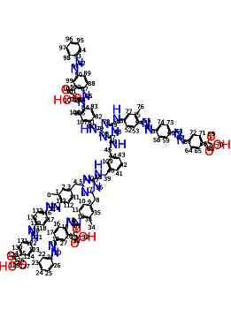 Cc1cc(Cc2nc(Cc3ccc(N=Nc4ccc(N=Nc5ccccc5)cc4S(=O)(=O)O)c(C)c3)nc(NCc3cccc(CNc4nc(Nc5ccc(N=Nc6ccc(N=Nc7ccc(S(=O)(=O)O)cc7)cc6)c(C)c5)nc(Nc5ccc(N=Nc6ccc(N=Nc7ccccc7)cc6S(=O)(=O)O)c(C)c5)n4)c3)n2)ccc1N=Nc1ccc(N=Nc2ccc(S(=O)(=O)O)cc2)cc1